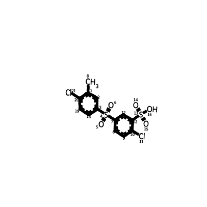 Cc1cc(S(=O)(=O)c2ccc(Cl)c(S(=O)(=O)O)c2)ccc1Cl